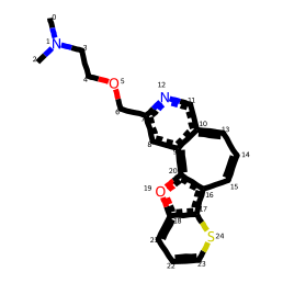 CN(C)CCOCc1cc2c(cn1)=CC=Cc1c3c(oc1=2)=CC=CS3